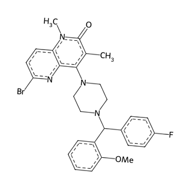 COc1ccccc1C(c1ccc(F)cc1)N1CCN(c2c(C)c(=O)n(C)c3ccc(Br)nc23)CC1